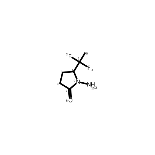 CC(F)(F)C1CCC(=O)N1N